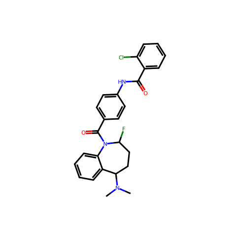 CN(C)C1CCC(F)N(C(=O)c2ccc(NC(=O)c3ccccc3Cl)cc2)c2ccccc21